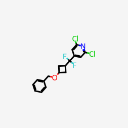 FC(F)(c1cc(Cl)nc(Cl)c1)C1CC(OCc2ccccc2)C1